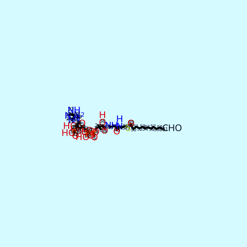 CC(C)(COP(=O)(O)OP(=O)(O)OC[C@H]1O[C@@H](n2cnc3c(N)ncnc32)[C@H](O)[C@@H]1OP(=O)(O)O)[C@@H](O)C(=O)NCCC(=O)NCCSC(=O)CCCCCCCCCCCC=O